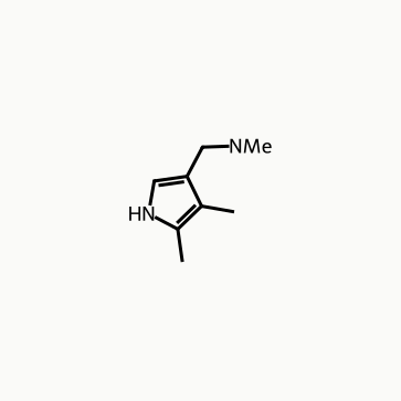 CNCc1c[nH]c(C)c1C